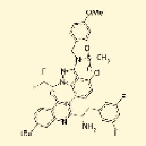 COc1ccc(CN(c2nn(CC(F)F)c3c(-n4c([C@@H](N)Cc5cc(F)cc(F)c5)nc5cc(C(C)(C)C)ccc5c4=O)ccc(Cl)c23)S(C)(=O)=O)cc1